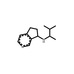 CC(C)C(C)NC1CCc2ccncc21